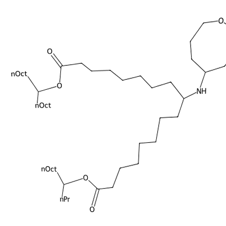 CCCCCCCCC(CCC)OC(=O)CCCCCCCC(CCCCCCCC(=O)OC(CCCCCCCC)CCCCCCCC)NC1CCCOCCC1